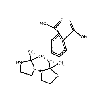 CC1(C)NCCO1.CC1(C)NCCO1.O=C(O)c1ccccc1C(=O)O